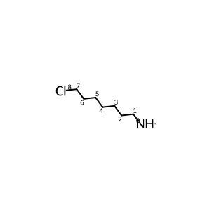 [NH]CCCCCCCCl